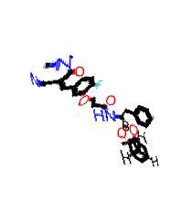 CN(C)C(=O)C(C#N)Cc1ccc(F)c(OCCC(=O)N[C@@H](Cc2ccccc2)B2O[C@@H]3C[C@@H]4C[C@@H](C4(C)C)[C@]3(C)O2)c1